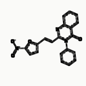 O=c1c2ccccc2nc(C=Cc2ccc([N+](=O)[O-])o2)n1-c1ccccc1